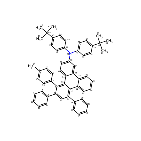 Cc1ccc(-c2c(-c3ccccc3)cc(-c3ccccc3)c3c4ccccc4c4cc(N(c5ccc(C(C)(C)C)cc5)c5ccc(C(C)(C)C)cc5)ccc4c23)cc1